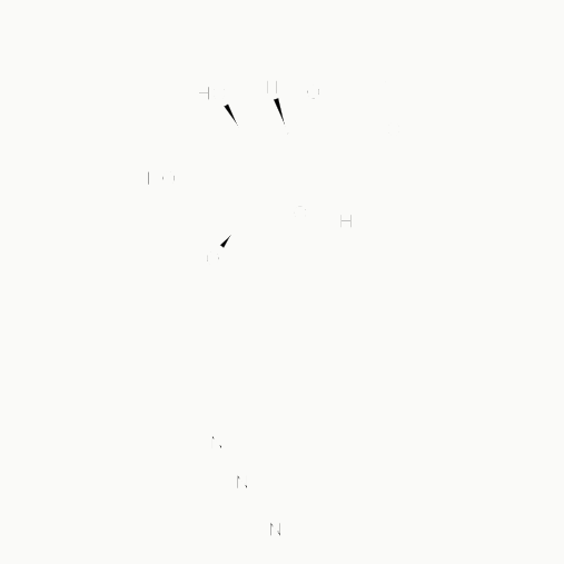 CC1(C)OC[C@H]2O[C@@H](OCCCN=[N+]=[N-])[C@H](O)[C@@H](O)[C@@H]2O1